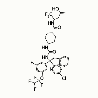 C=C(O)CC(NC(=O)[C@H]1CC[C@@H](NC(=O)N[C@@](Cc2ccccc2)(c2cc(F)cc(OC(F)(F)C(F)F)c2)c2ccc(Cl)cn2)CC1)C(F)(F)F